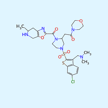 CC1Cc2nc(C(=O)N3CCN(S(=O)(=O)c4sc5cc(Cl)ccc5c4CN(C)C)CC3CC(=O)N3CCOCC3)oc2CN1